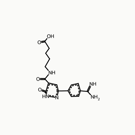 N=C(N)c1ccc(-c2cc(C(=O)NCCCCC(=O)O)c(=O)[nH]n2)cc1